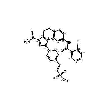 CS(=O)(=O)C=Cc1ccc(-n2nc(C(N)=O)c3c2-c2cc(NC(=O)c4ccccc4Cl)ccc2CC3)cc1